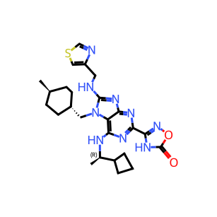 C[C@@H](Nc1nc(-c2noc(=O)[nH]2)nc2nc(NCc3cscn3)n(C[C@H]3CC[C@H](C)CC3)c12)C1CCC1